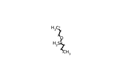 CCCO[SiH2]CCC